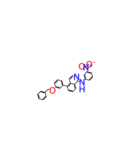 O=[N+]([O-])c1cccc(Nc2nccc3c(-c4cccc(OCc5ccccc5)c4)cccc23)c1